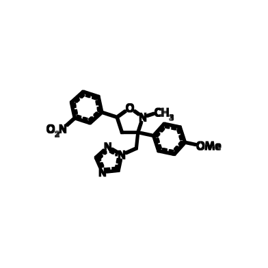 COc1ccc(C2(Cn3cncn3)CC(c3cccc([N+](=O)[O-])c3)ON2C)cc1